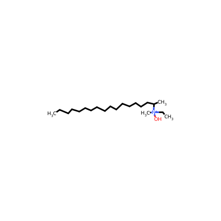 CCCCCCCCCCCCCCCCC(C)[N+](C)(O)CC